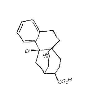 CC[C@@]12CC3NC(Cc4ccccc41)C2CC3C(=O)O